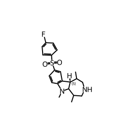 CC1CNCC(C)[C@H]2c3cc(S(=O)(=O)c4ccc(F)cc4)ccc3N(C)C12